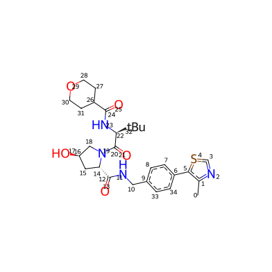 Cc1ncsc1-c1ccc(CNC(=O)[C@@H]2C[C@@H](O)CN2C(=O)[C@@H](NC(=O)C2CCOCC2)C(C)(C)C)cc1